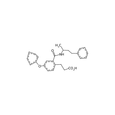 CC(CCc1ccccc1)NC(=O)c1cc(Oc2ccccc2)ccc1CCC(=O)O